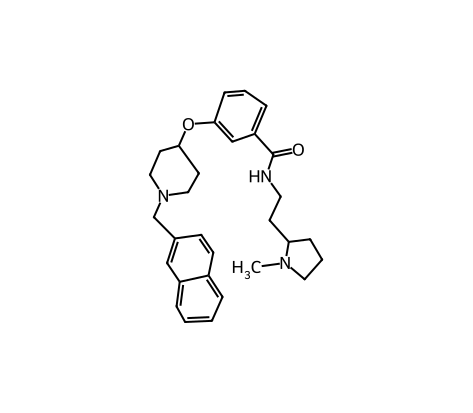 CN1CCCC1CCNC(=O)c1cccc(OC2CCN(Cc3ccc4ccccc4c3)CC2)c1